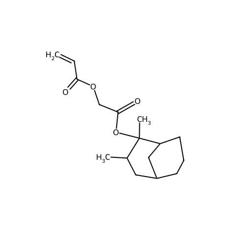 C=CC(=O)OCC(=O)OC1(C)C(C)CC2CCCC1C2